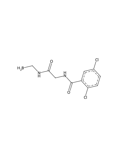 BCNC(=O)CNC(=O)c1cc(Cl)ccc1Cl